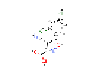 N#Cc1c(C(=O)O)noc1-c1ccc(Cl)cc1Cl